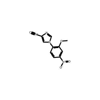 [C-]#[N+]c1cn(-c2ccc([N+](=O)[O-])cc2OC)cn1